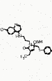 COC1(CSc2ccccc2)C=C(CC(F)(F)F)C(=O)N1CCCNc1ccnc2cc(Cl)ccc12